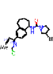 CN/C=C\C(=N/CCl)c1ccc2c(c1)CCCCC2NC(=O)N1CCC(C(C)(C)C)C1